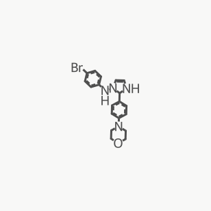 Brc1ccc(NN2C=CNC2c2ccc(N3CCOCC3)cc2)cc1